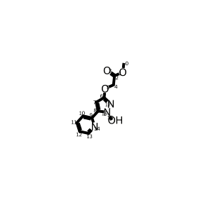 COC(=O)COc1cc(-c2ccccn2)n(O)n1